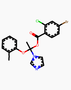 Cc1ccccc1OC(C)(OC(=O)c1ccc(Br)cc1Cl)n1ccnc1